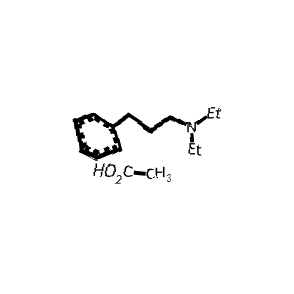 CC(=O)O.CCN(CC)CCCc1ccccc1